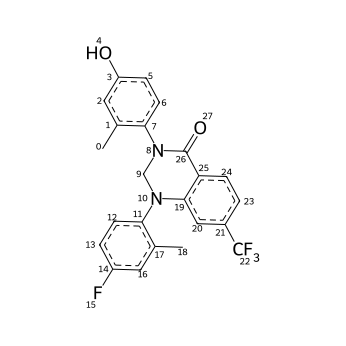 Cc1cc(O)ccc1N1CN(c2ccc(F)cc2C)c2cc(C(F)(F)F)ccc2C1=O